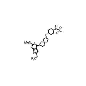 CNc1nc(N2CCC3(CCN(C[C@H]4CC[C@H](NS(C)(=O)=O)CC4)C3)C2)c2cc(CC(F)(F)F)sc2n1